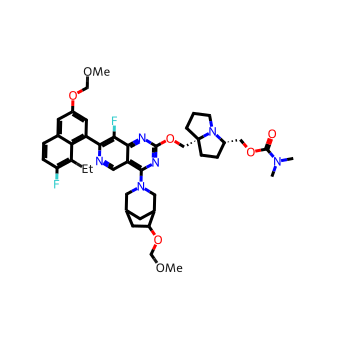 CCc1c(F)ccc2cc(OCOC)cc(-c3ncc4c(N5CC6CC(C5)C(OCOC)C6)nc(OC[C@]56CCCN5[C@H](COC(=O)N(C)C)CC6)nc4c3F)c12